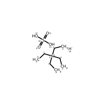 CC[N+](CC)(CC)CC.O=S(=O)(O)O.[H-]